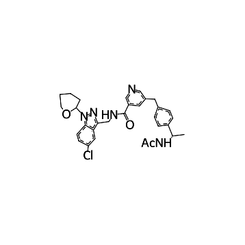 CC(=O)N[C@@H](C)c1ccc(Cc2cncc(C(=O)NCc3nn(C4CCCCO4)c4ccc(Cl)cc34)c2)cc1